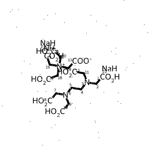 N.O=C(O)CN(CCN(CC(=O)O)CC(=O)O)CC(=O)O.O=C([O-])C[N+](CC(=O)O)(CC(=O)O)CC(=O)O.[NaH].[NaH]